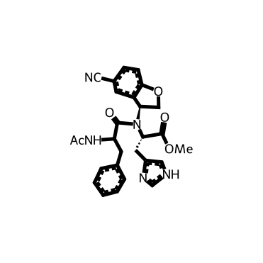 COC(=O)[C@H](Cc1c[nH]cn1)N(C(=O)C(Cc1ccccc1)NC(C)=O)[C@@H]1COc2ccc(C#N)cc21